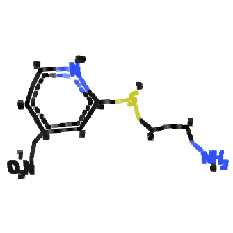 NCCSc1cc([N+](=O)[O-])ccn1